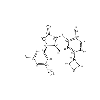 Cc1cc([C@H]2OC(=O)N(Cc3nc(N4CCC4)ncc3Br)[C@H]2C)cc(C(F)(F)F)c1